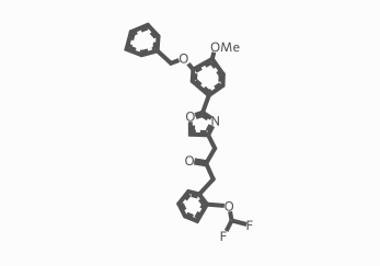 COc1ccc(-c2nc(CC(=O)Cc3ccccc3OC(F)F)co2)cc1OCc1ccccc1